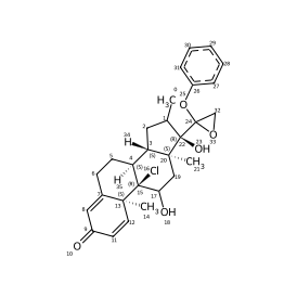 CC1C[C@H]2[C@@H]3CCC4=CC(=O)C=C[C@]4(C)[C@@]3(Cl)C(O)C[C@]2(C)[C@@]1(O)C1(Oc2ccccc2)CO1